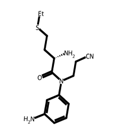 CCSCC[C@H](N)C(=O)N(CCC#N)c1cccc(N)c1